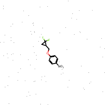 O=[N+]([O-])c1ccc(OCC2CC2(F)F)cc1